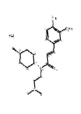 COc1cc(/C=C/C(=O)N(CCN(C)C)[C@H]2CC[C@H](C)CC2)ccc1O.Cl